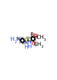 COc1cc(OC)c(NC(=S)Nc2ccc(N)cc2)cc1Br